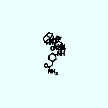 CC(C)NC(=O)O[C@]12CC3CC(C1)[C@H](Nc1nc(Nc4cccc(CC(N)=O)c4)ncc1Br)C(C3)C2